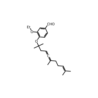 CCOc1cc(C=O)ccc1OC(C)(C)CC=C=C(C)CCC=C(C)C